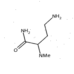 CNC(CCN)C(N)=O